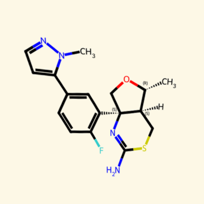 C[C@H]1OC[C@]2(c3cc(-c4ccnn4C)ccc3F)N=C(N)SC[C@H]12